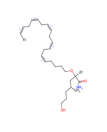 CC/C=C\C/C=C\C/C=C\C/C=C\C/C=C\CCCCOC(CC)(CC(C)CCCO)C(N)=O